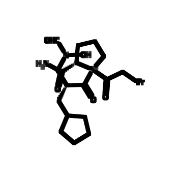 CC(C)CC(=O)[N+]1(C(=O)[C@H](CC2CCCC2)CN(O)C=O)CCC[C@H]1C(N)=O